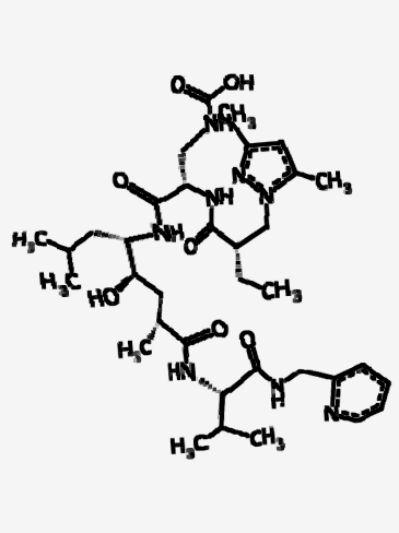 CC[C@@H](Cn1nc(C)cc1C)C(=O)N[C@@H](CNC(=O)O)C(=O)N[C@@H](CC(C)C)[C@H](O)C[C@@H](C)C(=O)N[C@H](C(=O)NCc1ccccn1)C(C)C